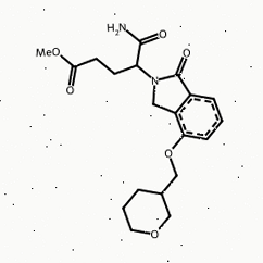 COC(=O)CCC(C(N)=O)N1Cc2c(OCC3CCCOC3)cccc2C1=O